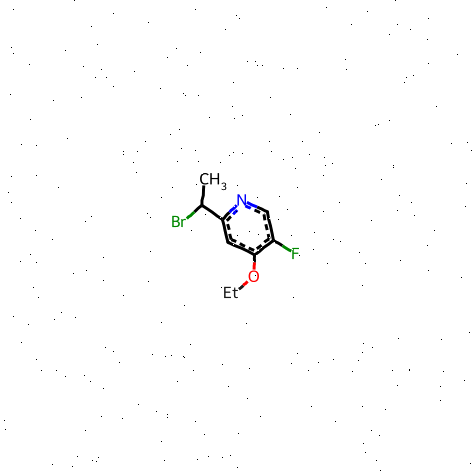 CCOc1cc(C(C)Br)ncc1F